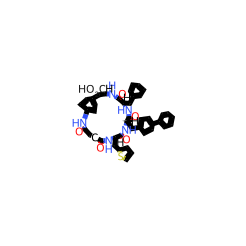 O=C1CCC(=O)N[C@H](CC2CC=CS2)C(=O)N[C@@H](Cc2ccc(-c3ccccc3)cc2)C(=O)N[C@H](Cc2ccccc2)C(=O)N[C@@H](C(=O)O)Cc2ccc(cc2)N1